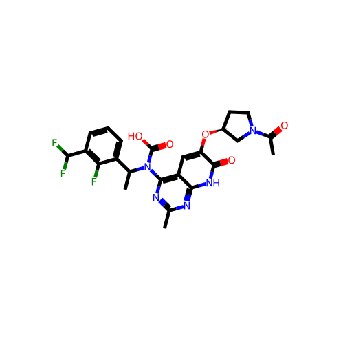 CC(=O)N1CC[C@H](Oc2cc3c(N(C(=O)O)C(C)c4cccc(C(F)F)c4F)nc(C)nc3[nH]c2=O)C1